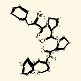 NC(Cc1ccccc1)C(=O)N1CC=CC1C(=O)N1CCCC1C(=O)NC(CC(=O)O)Cc1ccccc1